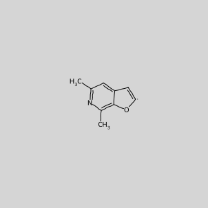 Cc1cc2c[c]oc2c(C)n1